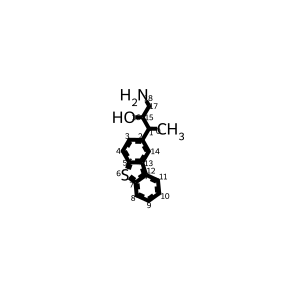 CC(c1ccc2sc3ccccc3c2c1)C(O)CN